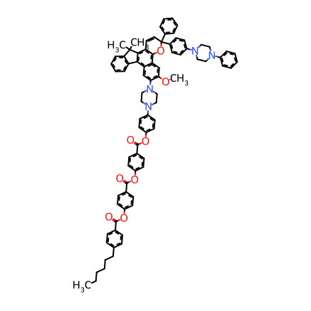 CCCCCCc1ccc(C(=O)Oc2ccc(C(=O)Oc3ccc(C(=O)Oc4ccc(N5CCN(c6cc7c8c(c9c(c7cc6OC)OC(c6ccccc6)(c6ccc(N7CCN(c%10ccccc%10)CC7)cc6)C=C9)C(C)(C)c6ccccc6-8)CC5)cc4)cc3)cc2)cc1